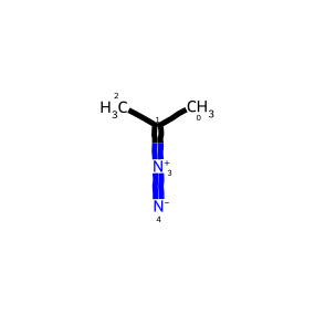 CC(C)=[N+]=[N-]